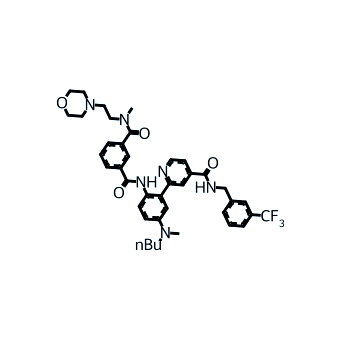 CCCCN(C)c1ccc(NC(=O)c2cccc(C(=O)N(C)CCN3CCOCC3)c2)c(-c2cc(C(=O)NCc3cccc(C(F)(F)F)c3)ccn2)c1